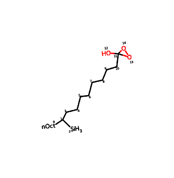 CCCCCCCCC([SiH3])CCCCCCCCC1(O)OO1